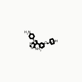 Nc1ncnc2c1c(-c1cccc(OC[C@]34CC[C@@H](CC3)O4)c1)cn2C1CCC(N)CC1